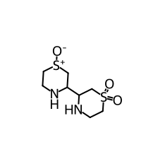 O=S1(=O)CCNC(C2C[S+]([O-])CCN2)C1